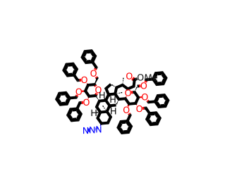 COC(=O)CC[C@@H](C)[C@H]1CC[C@H]2[C@@H]3[C@@H](C4O[C@H](COCc5ccccc5)[C@@H](OCc5ccccc5)[C@H](OCc5ccccc5)[C@H]4OCc4ccccc4)C[C@@H]4C[C@@H](N=[N+]=[N-])CC[C@]4(C)[C@H]3C[C@@H]([C@@H]3O[C@H](COCc4ccccc4)[C@@H](OCc4ccccc4)[C@H](OCc4ccccc4)[C@H]3OCc3ccccc3)[C@]12C